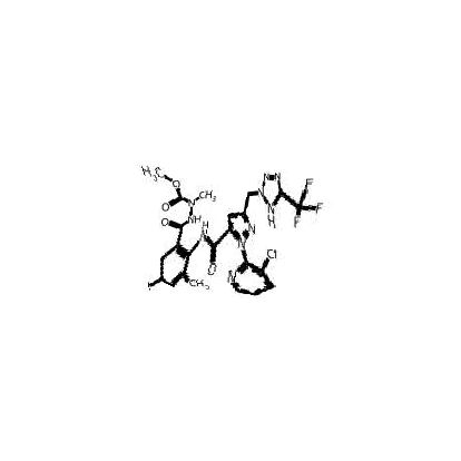 COC(=O)N(C)NC(=O)C1=C(NC(=O)c2cc(CN3N=NC(C(F)(F)F)N3)nn2-c2ncccc2Cl)C(C)=CC(I)C1